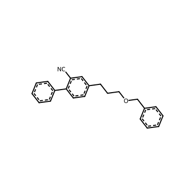 N#Cc1cc(CCCOCc2ccccc2)ccc1-c1ccccc1